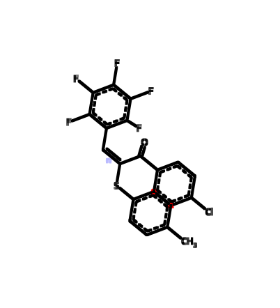 Cc1ccc(S/C(=C/c2c(F)c(F)c(F)c(F)c2F)C(=O)c2ccc(Cl)cc2)cc1